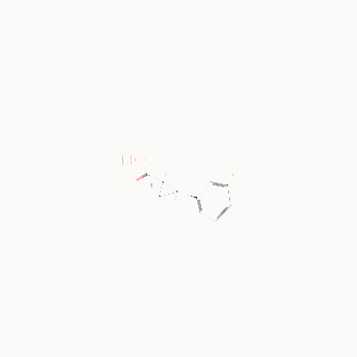 O=C(O)[C@@]1(F)C[C@@H]1c1cccc(Cl)c1